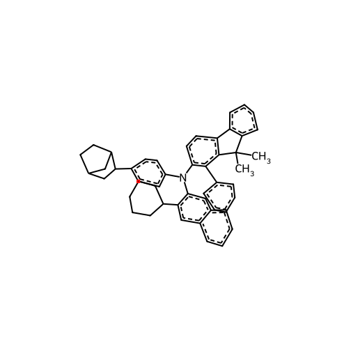 CC1(C)c2ccccc2-c2ccc(N(c3ccc(C4CC5CCC4C5)cc3)c3cc4ccccc4cc3C3CCCCC3)c(-c3ccccc3)c21